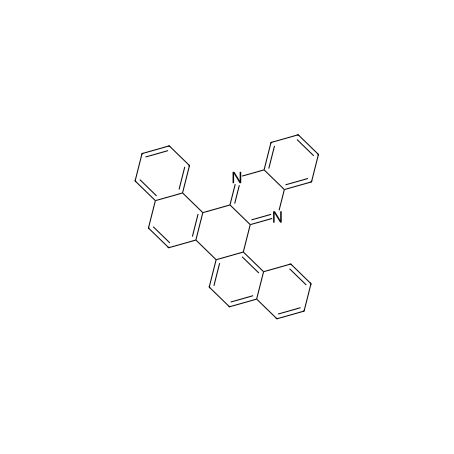 c1ccc2c(c1)ccc1c3ccc4ccccc4c3c3nc4ccccc4nc3c21